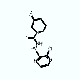 O=C(NNc1nccnc1Cl)N1CCCC(F)C1